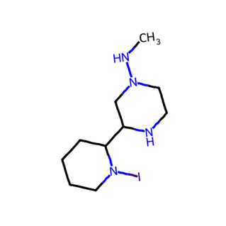 CNN1CCNC(C2CCCCN2I)C1